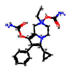 CC(C)C[N+]1(OC(N)=O)CCn2c(c(OC(N)=O)c(-c3ccccc3)c2C2CC2)C1